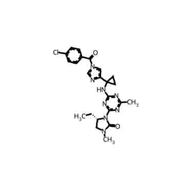 CC[C@H]1CN(C)C(=O)N1c1nc(C)nc(NC2(c3cn(C(=O)c4ccc(Cl)cc4)cn3)CC2)n1